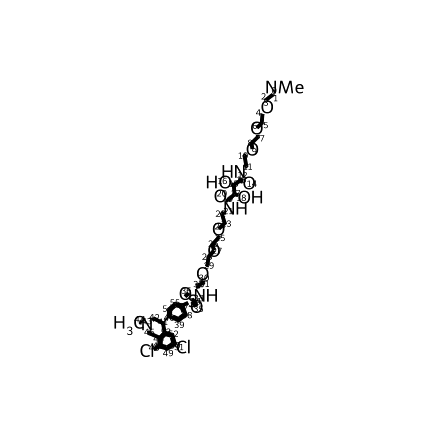 CNCCOCCOCCOCCNC(=O)C(O)C(O)C(=O)NCCOCCOCCOCCNS(=O)(=O)c1ccc([C@@H]2CN(C)Cc3c(Cl)cc(Cl)cc32)cc1